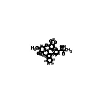 CC(=O)N(O)c1ccc(-n2c3c(c4ccccc42)C[C@@H]2C(=O)N(C)CC(=O)N2[C@@H]3c2ccc3c(c2)OCO3)nc1